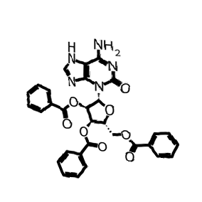 Nc1nc(=O)n([C@@H]2O[C@H](COC(=O)c3ccccc3)[C@@H](OC(=O)c3ccccc3)[C@H]2OC(=O)c2ccccc2)c2nc[nH]c12